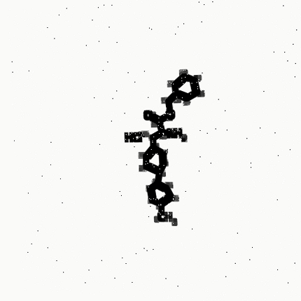 Cc1ccc(-c2ccc(CC(N)C(=O)OCc3ccccc3)cc2)cc1.Cl